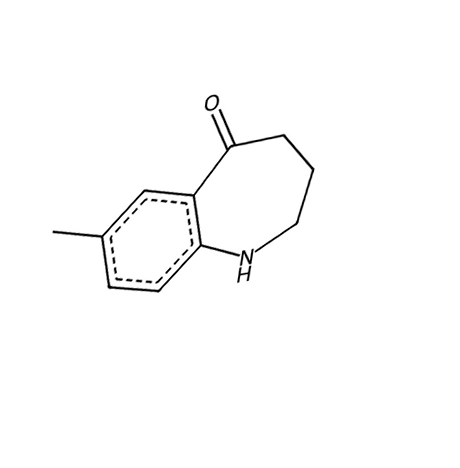 Cc1ccc2c(c1)C(=O)CCCN2